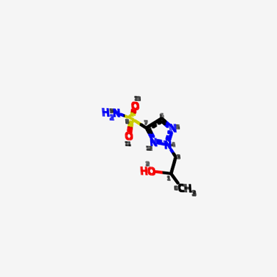 CC(O)Cn1ncc(S(N)(=O)=O)n1